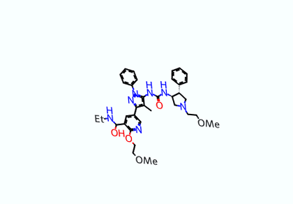 CCNC(O)c1cc(-c2nn(-c3ccccc3)c(NC(=O)N[C@@H]3CN(CCOC)C[C@H]3c3ccccc3)c2C)cnc1OCCOC